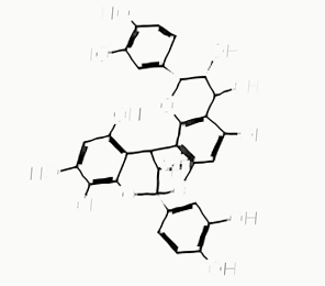 Cc1c(O)cc(O)c2c1O[C@@]1(c3ccc(O)c(O)c3)Oc3cc(O)c4c(c3C2[C@H]1O)O[C@@H](c1ccc(O)c(O)c1)[C@@H](O)C4C